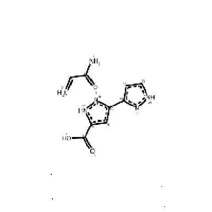 C=CC(N)=O.O=C(O)c1cc(-c2cc[nH]n2)n[nH]1